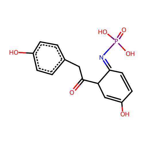 O=C(Cc1ccc(O)cc1)C1C=C(O)C=C/C1=N\P(=O)(O)O